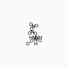 c1ccc(-c2ccc(C3NC(c4ccccc4)NC(c4cccc(-n5c6ccccc6c6cc7c8ccccc8n(-c8ccccc8)c7cc65)c4)N3)cc2)cc1